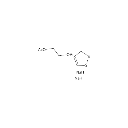 C1=CSSC1.CC(=O)OCCOC(C)=O.[NaH].[NaH]